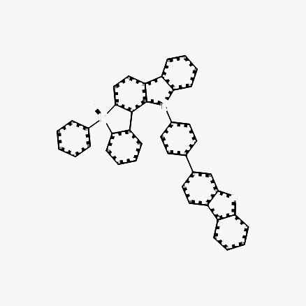 O=P1(c2ccccc2)c2ccccc2-c2c1ccc1c3ccccc3n(-c3ccc(-c4ccc5c(c4)sc4ccccc45)cc3)c21